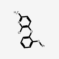 Cc1ccc(Oc2ccccc2OC(C)C)c(Cl)n1